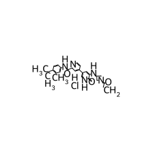 C=CC(=O)N1CC(Nc2cc(-c3ccnc(C(=O)Nc4ccc(C(C)C)c(C)c4)c3)c[nH]c2=O)C1.Cl